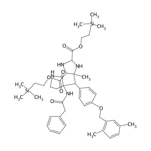 Cc1ccc(C)c(COc2ccc(C(C3(NC(=O)Cc4ccccc4)CCNC3=O)C3(C)NC(C(=O)OCC[Si](C)(C)C)NC3C(=O)OCC[Si](C)(C)C)cc2)c1